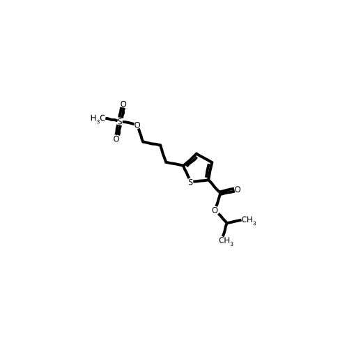 CC(C)OC(=O)c1ccc(CCCOS(C)(=O)=O)s1